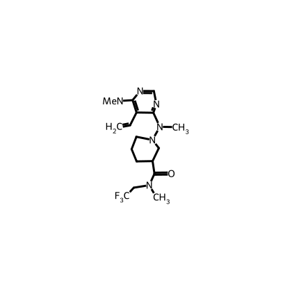 C=Cc1c(NC)ncnc1N(C)N1CCCC(C(=O)N(C)CC(F)(F)F)C1